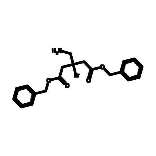 NCC(Br)(CC(=O)OCc1ccccc1)CC(=O)OCc1ccccc1